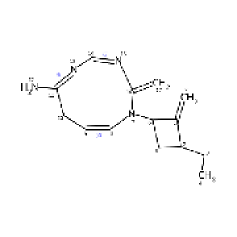 C=C1C(CC)CC1N1/C=C\C/C(N)=N\C=N/C1=C